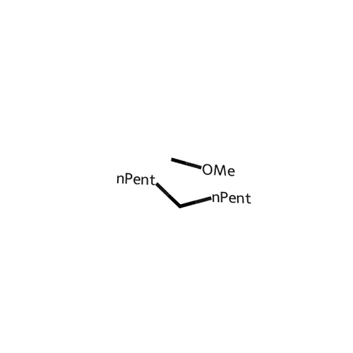 CCCCCCCCCCC.COC